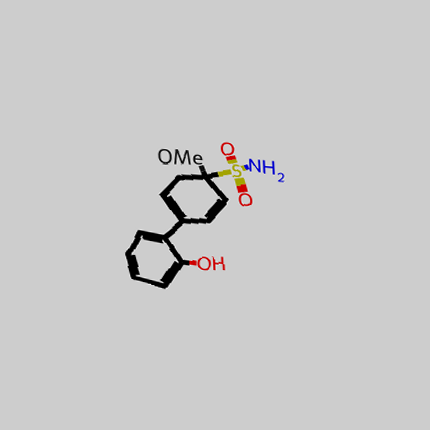 COC1(S(N)(=O)=O)C=CC(c2ccccc2O)=CC1